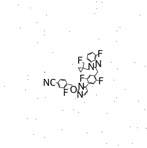 N#Cc1ccc(COc2nccc(-c3cc(F)c(Cc4nc5c(F)cccc5n4CC4(CF)CC4)cc3F)n2)c(F)c1